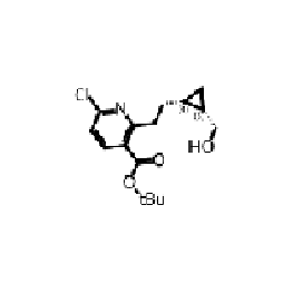 CC(C)(C)OC(=O)c1ccc(Cl)nc1CC[C@@H]1C[C@@H]1CO